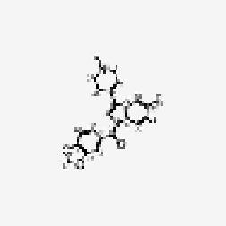 CN1CC=C(c2cn(C(=O)c3ccc4c(c3)OCO4)c3ccc(F)cc23)CC1